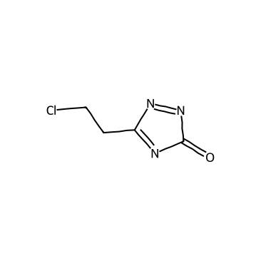 O=C1N=NC(CCCl)=N1